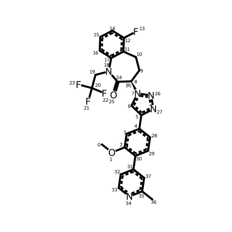 COc1cc(-c2cn([C@@H]3CCc4c(F)cccc4N(CC(F)(F)F)C3=O)nn2)ccc1-c1ccnc(C)c1